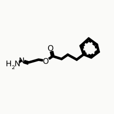 NN=CCOC(=O)CCCc1ccccc1